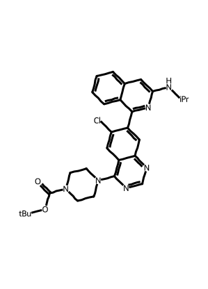 CC(C)Nc1cc2ccccc2c(-c2cc3ncnc(N4CCN(C(=O)OC(C)(C)C)CC4)c3cc2Cl)n1